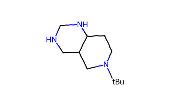 CC(C)(C)N1CCC2NCNCC2C1